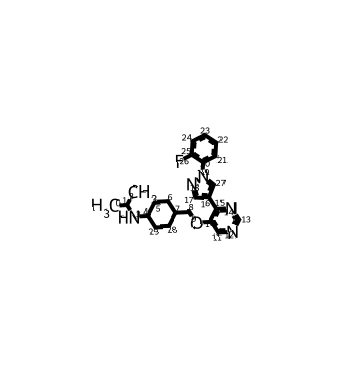 CC(C)NC1CCC(COc2cncnc2-c2cnn(-c3ccccc3F)c2)CC1